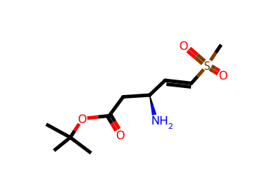 CC(C)(C)OC(=O)C[C@H](N)C=CS(C)(=O)=O